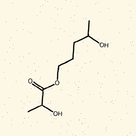 CC(O)CCCOC(=O)C(C)O